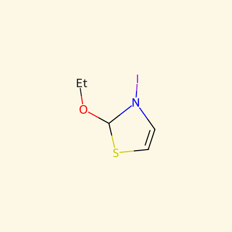 CCOC1SC=CN1I